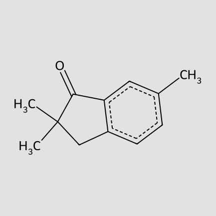 Cc1ccc2c(c1)C(=O)C(C)(C)C2